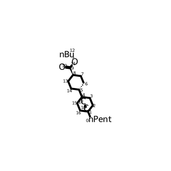 CCCCCC12CCC([C@H]3CC[C@H](C(=O)OCCCC)CC3)(CC1)CC2